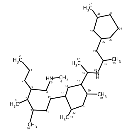 CCCC(CNC)C(C)C(C)CCC1CC(C(C)NC(C)CC2CCCC(C)C2)C(C)CC1C